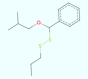 CCCSSC(OCC(C)C)c1ccccc1